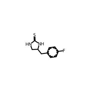 Fc1ccc(CC2CNC(=S)N2)cc1